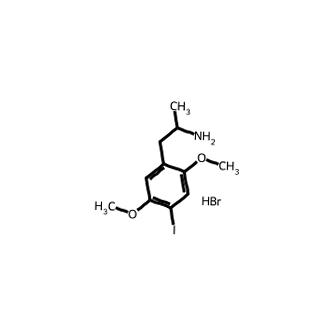 Br.COc1cc(CC(C)N)c(OC)cc1I